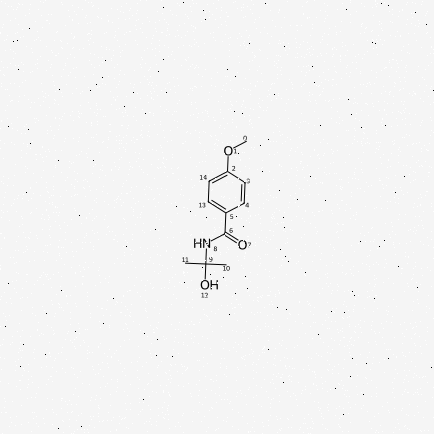 COc1ccc(C(=O)NC(C)(C)O)cc1